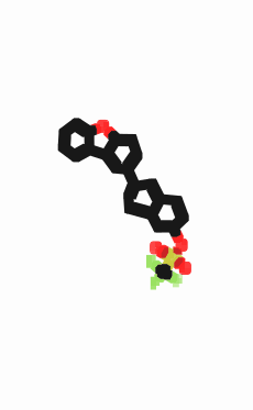 O=S(=O)(Oc1ccc2cc(-c3ccc4oc5ccccc5c4c3)ccc2c1)C(F)(F)F